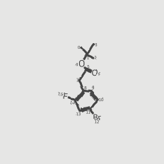 CC(C)(C)OC(=O)Cc1ccc(Br)cc1F